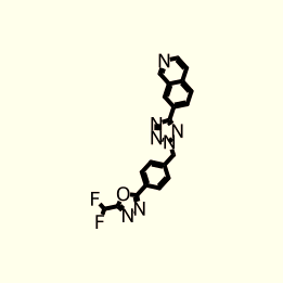 FC(F)c1nnc(-c2ccc(Cn3nnc(-c4ccc5ccncc5c4)n3)cc2)o1